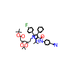 CC(C)c1c(C(=O)Nc2ccc(C#N)cc2)c(-c2ccccc2)c(-c2ccc(F)cc2)n1CC[C@@H]1C[C@H](CC(=O)OC(C)(C)C)OC(C)(C)O1